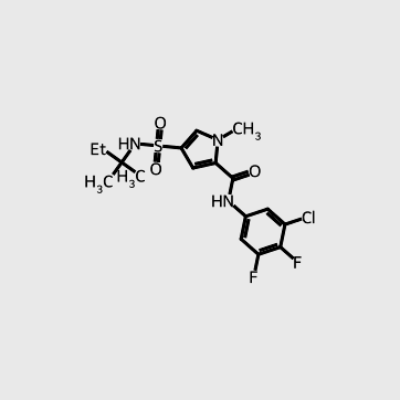 CCC(C)(C)NS(=O)(=O)c1cc(C(=O)Nc2cc(F)c(F)c(Cl)c2)n(C)c1